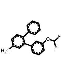 Cc1ccc(-c2ccccc2)c(-c2cccc(OC(F)F)c2)c1